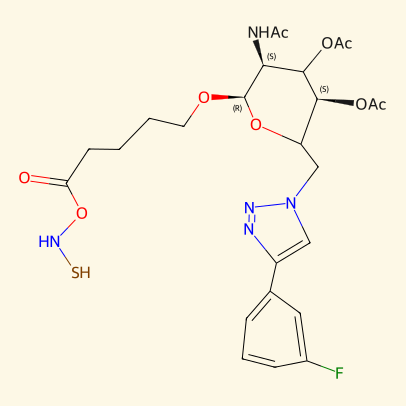 CC(=O)N[C@H]1C(OC(C)=O)[C@@H](OC(C)=O)C(Cn2cc(-c3cccc(F)c3)nn2)O[C@H]1OCCCCC(=O)ONS